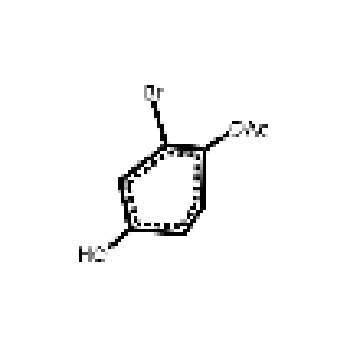 CC(=O)Oc1ccc(O)cc1Br